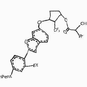 CCCCCc1ccc(-c2cc3ccc(OC4CCC(OC(=O)C(C)C(C)C)C4C(F)(F)F)cc3o2)c(CC)c1